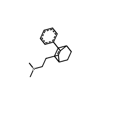 CN(C)CCC1=C(c2ccccc2)C2CCC1CC2